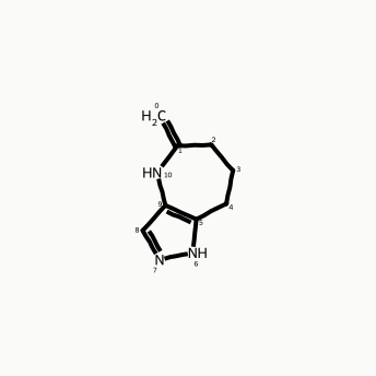 C=C1CCCc2[nH]ncc2N1